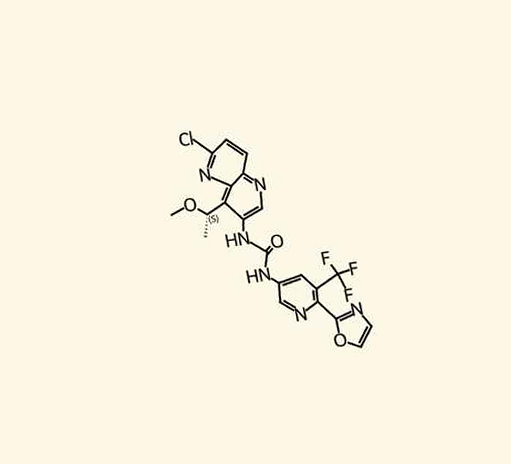 CO[C@@H](C)c1c(NC(=O)Nc2cnc(-c3ncco3)c(C(F)(F)F)c2)cnc2ccc(Cl)nc12